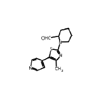 Cc1nc(N2CCCCC2C=O)sc1-c1ccncc1